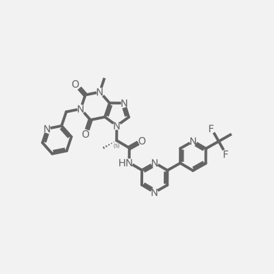 C[C@@H](C(=O)Nc1cncc(-c2ccc(C(C)(F)F)nc2)n1)n1cnc2c1c(=O)n(Cc1ccccn1)c(=O)n2C